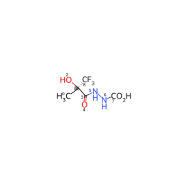 C[C@@](O)(C(=O)NNC(=O)O)C(F)(F)F